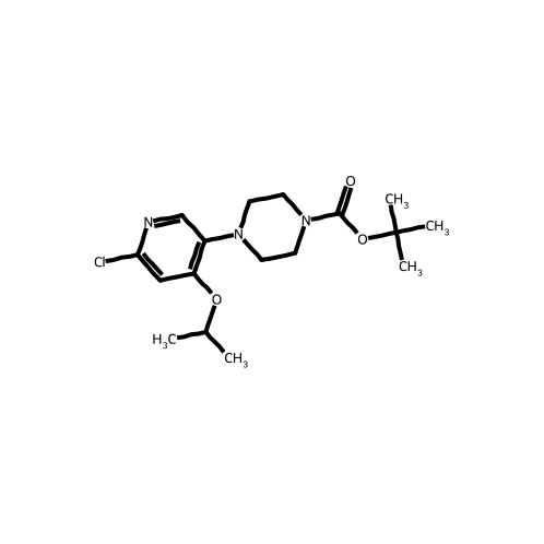 CC(C)Oc1cc(Cl)ncc1N1CCN(C(=O)OC(C)(C)C)CC1